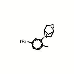 Cc1ccc(C(C)(C)C)cc1N1CC2CC1CO2